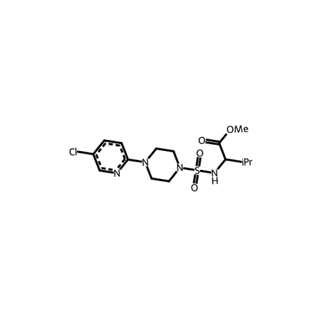 COC(=O)C(NS(=O)(=O)N1CCN(c2ccc(Cl)cn2)CC1)C(C)C